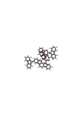 c1ccc(-c2cccc(-n3c4ccc(-n5c6ccccc6c6ccccc65)cc4c4ccc5c6ccccc6n(-c6nc(-c7ccccc7)nc(-c7cccc8c9ccccc9n(-c9ccccc9)c78)n6)c5c43)c2)cc1